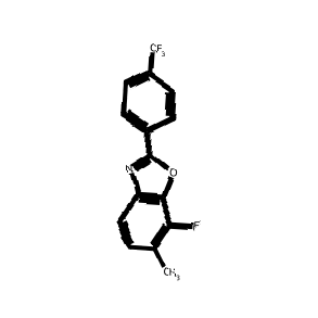 Cc1ccc2nc(-c3ccc(C(F)(F)F)cc3)oc2c1F